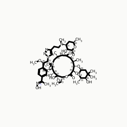 CC[C@H]1OC(=O)[C@H](C)[C@@H](O[C@H]2CC(C)(C)[C@@H](O)[C@H](C)O2)[C@H](C)[C@@H](O[C@@H]2O[C@H](C)C[C@H](N(C)CCc3cn([C@H](CF)[C@H](OC)c4ccc(/C(C)=N/O)cc4)nn3)[C@H]2O)[C@](C)(O)C[C@@H](C)CN(C)[C@H](C)[C@@H](O)[C@]1(C)O